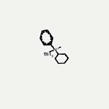 B.C[N+](C)(c1ccccc1)C1CCCCC1